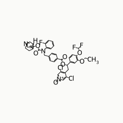 CCOc1cc(C(Cc2c(Cl)c[n+]([O-])cc2Cl)OC(=O)c2ccc(CN(C(=O)O[C@H]3CN4CCC3CC4)c3ccccc3F)cc2)ccc1OC(F)F